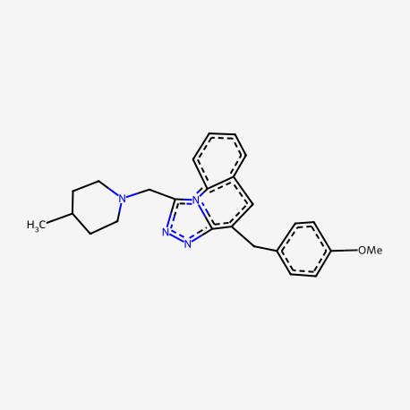 COc1ccc(Cc2cc3ccccc3n3c(CN4CCC(C)CC4)nnc23)cc1